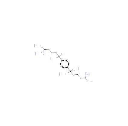 CC(N)CCCC(C)(C)c1ccc(C(C)(C)CCCC(C)N)cc1